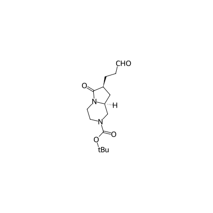 CC(C)(C)OC(=O)N1CCN2C(=O)[C@@H](CCC=O)C[C@H]2C1